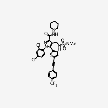 CNS(=O)(=O)NCc1c(C(=O)NN2CCCCC2)nn(-c2ccc(Cl)cc2Cl)c1-c1ccc(C#Cc2ccc(C(F)(F)F)cc2)s1